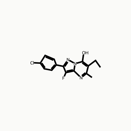 CCc1c(C)nc2c(F)c(-c3ccc(Cl)cc3)nn2c1O